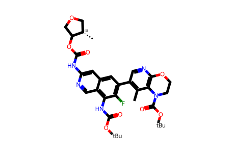 Cc1c(-c2cc3cc(NC(=O)OC4COC[C@@H]4C)ncc3c(NC(=O)OC(C)(C)C)c2F)cnc2c1N(C(=O)OC(C)(C)C)CCO2